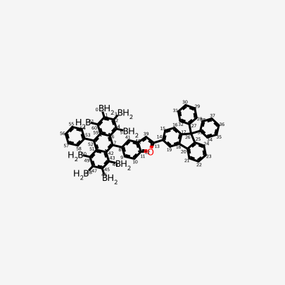 Bc1c(B)c(B)c2c(-c3ccc4oc(-c5ccc6c(c5)-c5ccccc5C6(c5ccccc5)c5ccccc5)cc4c3)c3c(B)c(B)c(B)c(B)c3c(-c3ccccc3)c2c1B